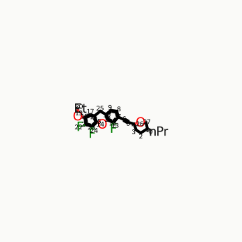 CCCC1CCC(C#Cc2ccc3c(c2F)Oc2c(cc(OCC)c(F)c2F)C3)OC1